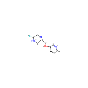 FC1CNC(COc2cccnc2)CN1